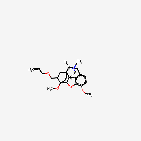 C=CCOCC1CC23CCC1(OC)C1Oc4c(OC)ccc5c4[C@@]12CCN(C)[C@@H]3C5